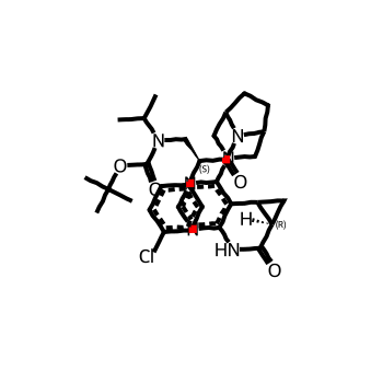 CC(C)N(C[C@@H](C(=O)N1C2CCC1CN(c1ncnc3c1C1C[C@H]1C(=O)N3)C2)c1ccc(Cl)cc1)C(=O)OC(C)(C)C